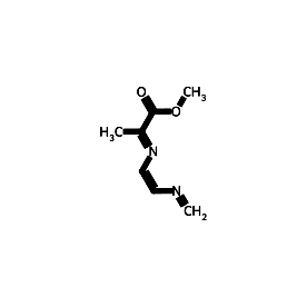 C=N/C=C\N=C(/C)C(=O)OC